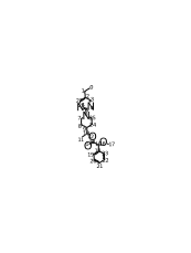 CCc1cnc(N2CCC([C@H](C)OC(=O)C(OC)c3ccccc3)CC2)nc1